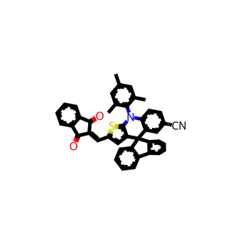 Cc1cc(C)c(N2c3ccc(C#N)cc3C3(c4ccccc4-c4ccccc43)c3cc(C=C4C(=O)c5ccccc5C4=O)sc32)c(C)c1